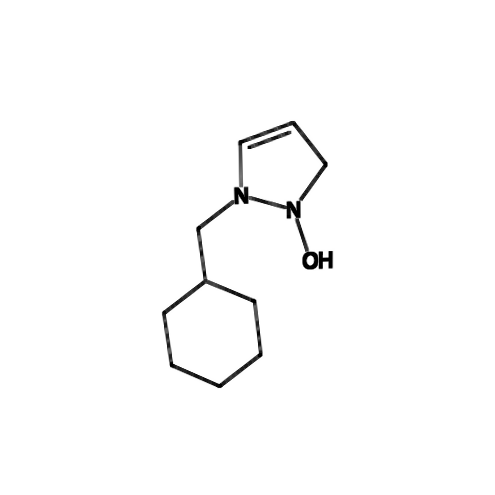 ON1CC=CN1CC1CCCCC1